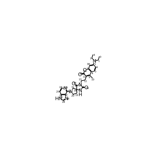 CCN(CC)c1ccc2c(C)c(CCN3C(=O)NC4(CCN(c5nccc6[nH]cnc56)C4)C3=O)c(=O)oc2c1